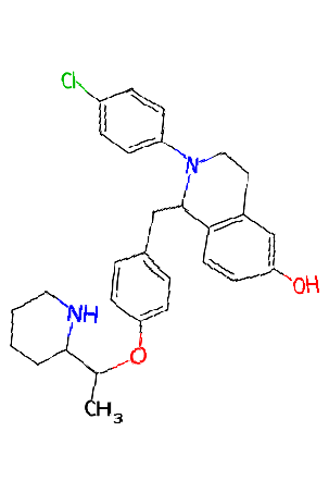 CC(Oc1ccc(CC2c3ccc(O)cc3CCN2c2ccc(Cl)cc2)cc1)C1CCCCN1